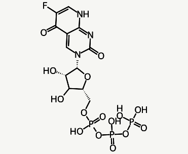 O=c1c(F)c[nH]c2nc(=O)n([C@@H]3O[C@H](COP(=O)(O)OP(=O)(O)OP(=O)(O)O)C(O)[C@@H]3O)cc12